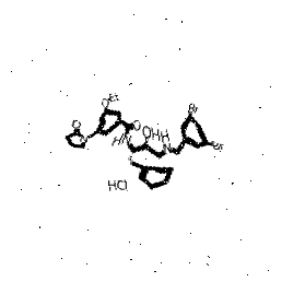 CCOc1cc(C(=O)N[C@@H](Cc2ccccc2)[C@@H](O)CNCc2cc(Br)cc(Br)c2)cc(N2CCCC2=O)c1.Cl